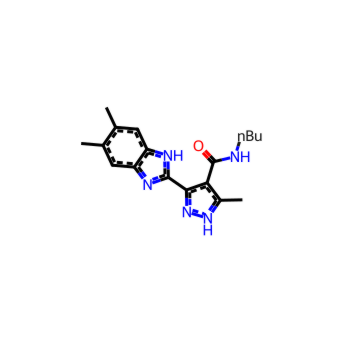 CCCCNC(=O)c1c(-c2nc3cc(C)c(C)cc3[nH]2)n[nH]c1C